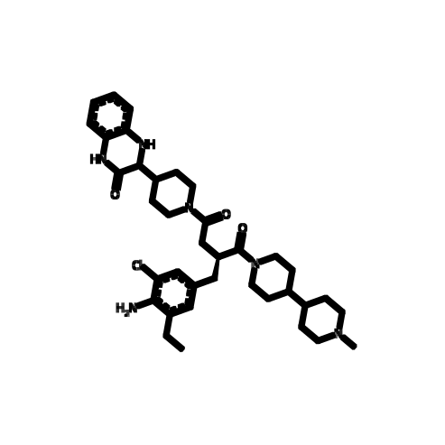 CCc1cc(C[C@@H](CC(=O)N2CCC(C3Nc4ccccc4NC3=O)CC2)C(=O)N2CCC(C3CCN(C)CC3)CC2)cc(Cl)c1N